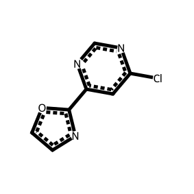 Clc1cc(-c2ncco2)ncn1